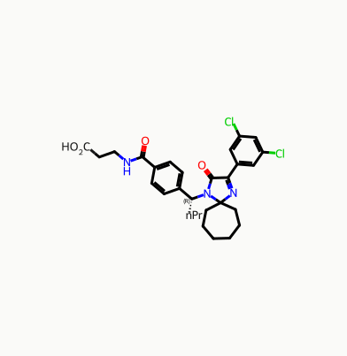 CCC[C@H](c1ccc(C(=O)NCCC(=O)O)cc1)N1C(=O)C(c2cc(Cl)cc(Cl)c2)=NC12CCCCCC2